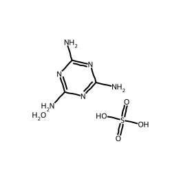 Nc1nc(N)nc(N)n1.O.O=S(=O)(O)O